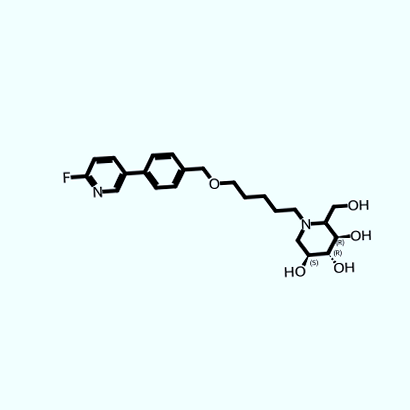 OCC1[C@@H](O)[C@H](O)[C@@H](O)CN1CCCCCOCc1ccc(-c2ccc(F)nc2)cc1